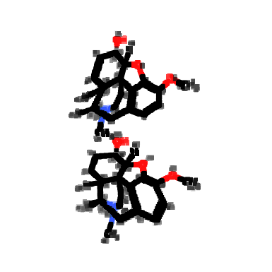 COc1ccc2c3c1O[C@H]1[C@@H](O)C=C[C@H]4[C@@H](C2)N(C)CC[C@@]341.COc1ccc2c3c1O[C@H]1[C@@H](O)CC[C@H]4[C@@H](C2)N(C)CC[C@@]341